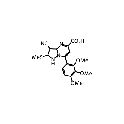 COc1ccc(C2=CC(C(=O)O)=NC3C(C#N)C(SC)NN23)c(OC)c1OC